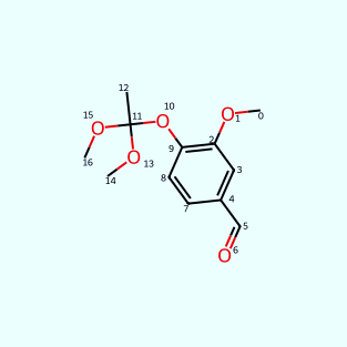 COc1cc(C=O)ccc1OC(C)(OC)OC